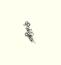 C/C(=N\NC(=O)Cc1ccc(Cl)c(Cl)c1)c1ccccc1OS(=O)(=O)c1ccc(C(F)(F)F)cc1